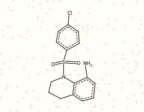 Nc1cccc2c1N(S(=O)(=O)c1ccc(Cl)cc1)CCC2